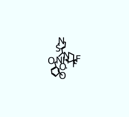 COc1cccc(C(=O)NCC(C2=CCN=CS2)N2CCC(F)(F)CC2)c1OC